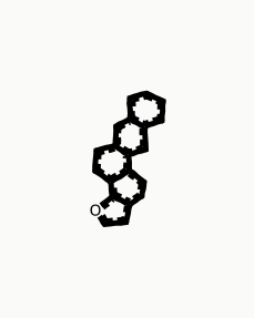 c1ccc2cc3c(ccc4c3ccc3ccoc34)cc2c1